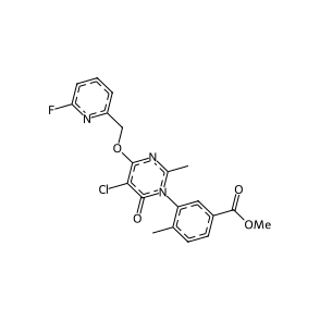 COC(=O)c1ccc(C)c(-n2c(C)nc(OCc3cccc(F)n3)c(Cl)c2=O)c1